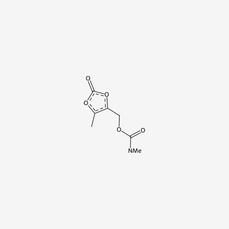 CNC(=O)OCc1oc(=O)oc1C